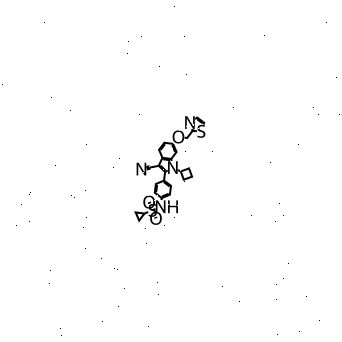 N#Cc1c(-c2ccc(NS(=O)(=O)C3CC3)cc2)n(C2CCC2)c2cc(OCc3nccs3)ccc12